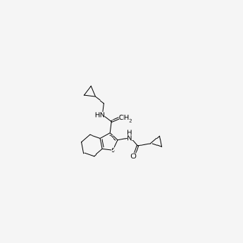 C=C(NCC1CC1)c1c(NC(=O)C2CC2)sc2c1CCCC2